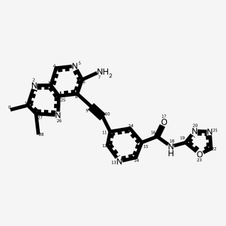 Cc1nc2cnc(N)c(C#Cc3cncc(C(=O)Nc4nnco4)c3)c2nc1C